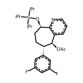 CC(=O)O[C@@H]1c2cccnc2[C@H](O[Si](C(C)C)(C(C)C)C(C)C)CC[C@H]1c1cc(F)cc(F)c1